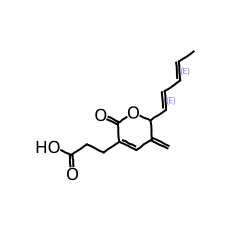 C=C1C=C(CCC(=O)O)C(=O)OC1/C=C/C=C/C